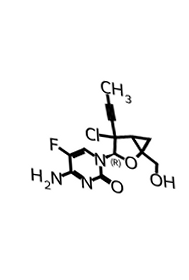 CC#CC1(Cl)C2CC2(CO)O[C@H]1n1cc(F)c(N)nc1=O